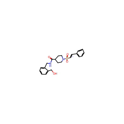 O=C(NCc1ccccc1CO)C1CCN(S(=O)(=O)/C=C/c2ccccc2)CC1